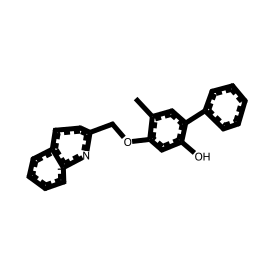 Cc1cc(-c2ccccc2)c(O)cc1OCc1ccc2ccccc2n1